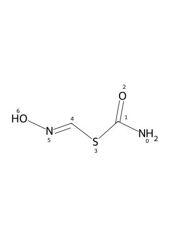 NC(=O)SC=NO